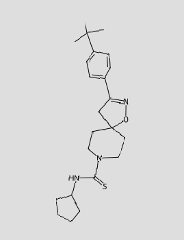 CC(C)(C)c1ccc(C2=NOC3(CCN(C(=S)NC4CCCC4)CC3)C2)cc1